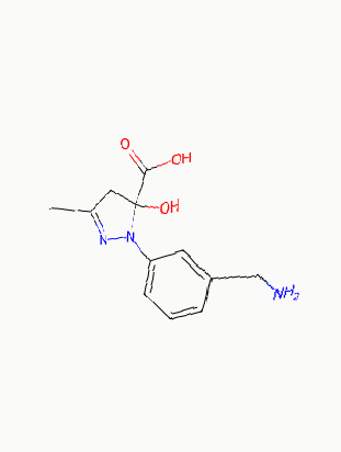 CC1=NN(c2cccc(CN)c2)C(O)(C(=O)O)C1